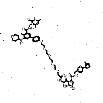 CCN(c1cc(-c2ccc(OCCOCCOCCOCCOCC(=O)N[C@H](C(=O)C3C[C@H](O)C[C@H]3C(=O)NCc3ccc(-c4sccc4C)cc3)C(C)(C)C)cc2)cc(C(=O)NCc2c(C)cc(C)[nH]c2=O)c1C)C1CCOCC1